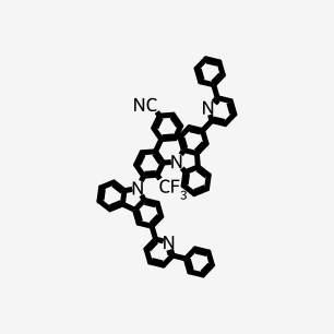 N#Cc1cccc(-c2ccc(-n3c4ccccc4c4cc(-c5cccc(-c6ccccc6)n5)ccc43)c(C(F)(F)F)c2-n2c3ccccc3c3cc(-c4cccc(-c5ccccc5)n4)ccc32)c1